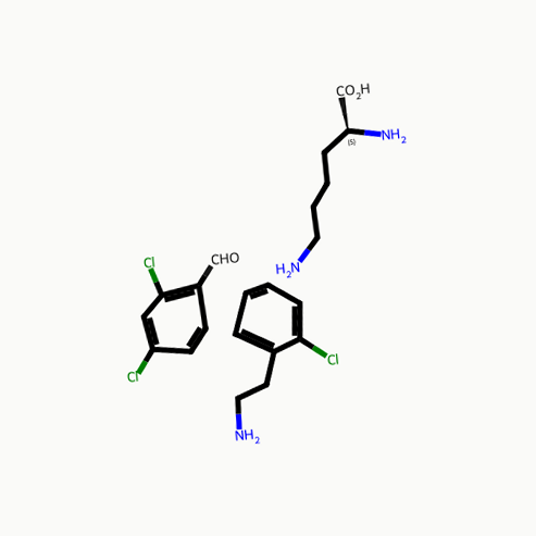 NCCCC[C@H](N)C(=O)O.NCCc1ccccc1Cl.O=Cc1ccc(Cl)cc1Cl